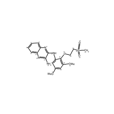 COc1cc(Nc2nc3ccccc3nc2N)c(OCCS(C)(=O)=O)c(OC)c1